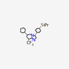 CC(C)Sc1ccc(-c2cnc3c(C(F)(F)F)cc(-c4ccccc4)cn23)cc1